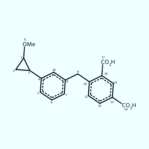 COC1CC1c1cccc(Cc2ccc(C(=O)O)cc2C(=O)O)c1